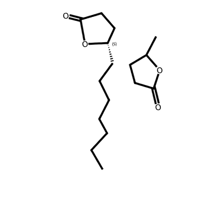 CC1CCC(=O)O1.CCCCCCC[C@H]1CCC(=O)O1